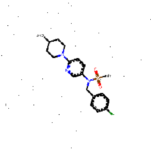 CCCS(=O)(=O)N(Cc1ccc(F)cc1)c1ccc(N2CCC(OC(C)=O)CC2)nc1